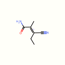 CC/C(C#N)=C(/C)C(N)=O